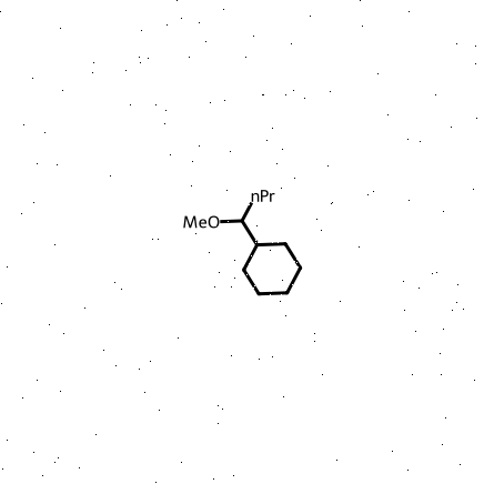 CCCC(OC)[C]1CCCCC1